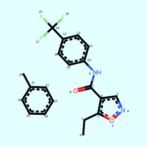 CCc1oncc1C(=O)Nc1ccc(C(F)(F)F)cc1.Cc1ccccc1